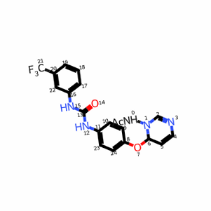 CC(=O)NN1C=NC=CC1Oc1ccc(NC(=O)Nc2cccc(C(F)(F)F)c2)cc1